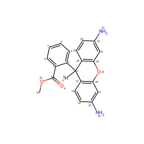 [2H]C1(c2ccccc2C(=O)OC)c2ccc(N)cc2Oc2cc(N)ccc21